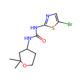 CC1(C)CC(NC(=O)Nc2ncc(Br)s2)CCO1